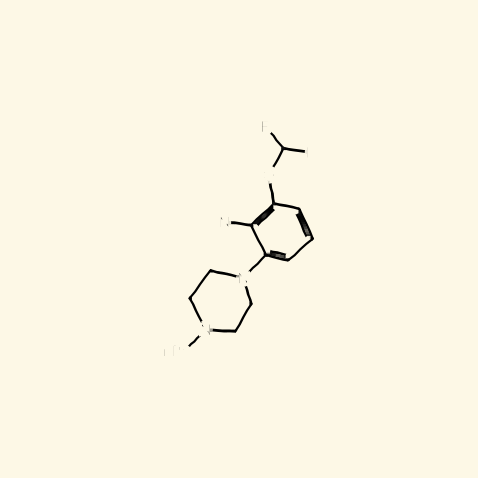 CCCN1CCN(c2cccc(OC(F)F)c2N)CC1